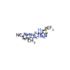 Cc1c(CN2CCC(Nc3ncnc4sc(CC(F)(F)F)cc34)CC2)ncc2nc(C#N)ccc12